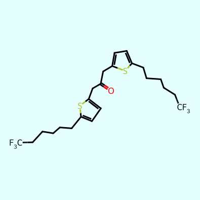 O=C(Cc1ccc(CCCCCC(F)(F)F)s1)Cc1ccc(CCCCCC(F)(F)F)s1